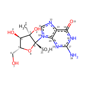 C[C@@]1(O)[C@H](O)[C@@H](CO)O[C@]1(n1cnc2c(=O)[nH]c(N)nc21)S(=O)(=O)O